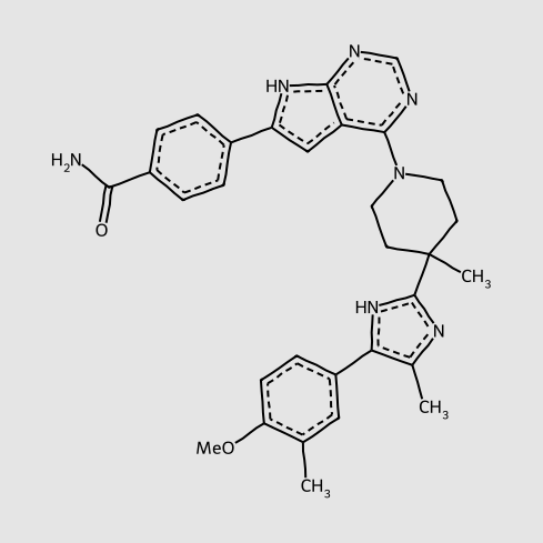 COc1ccc(-c2[nH]c(C3(C)CCN(c4ncnc5[nH]c(-c6ccc(C(N)=O)cc6)cc45)CC3)nc2C)cc1C